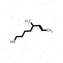 C/C=C/C(C)CCCCO